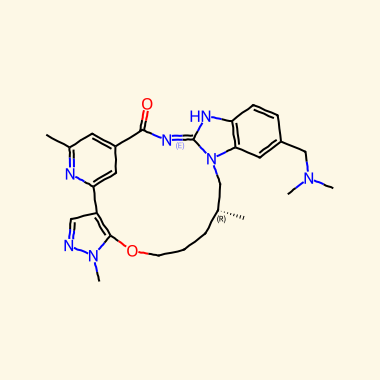 Cc1cc2cc(n1)-c1cnn(C)c1OCCC[C@@H](C)CN1/C(=N/C2=O)Nc2ccc(CN(C)C)cc21